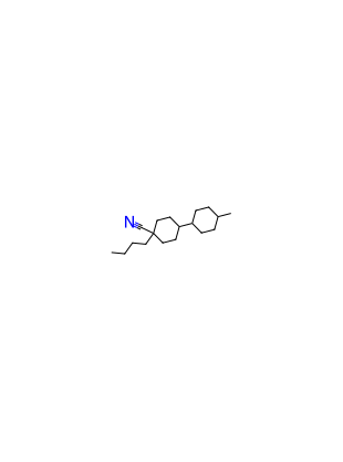 CCCCC1(C#N)CCC(C2CCC(C)CC2)CC1